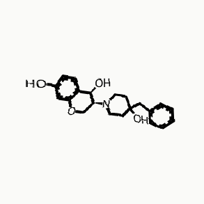 Oc1ccc2c(c1)OC[C@H](N1CCC(O)(Cc3ccccc3)CC1)[C@@H]2O